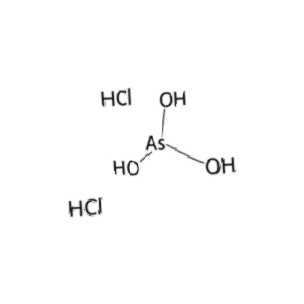 Cl.Cl.O[As](O)O